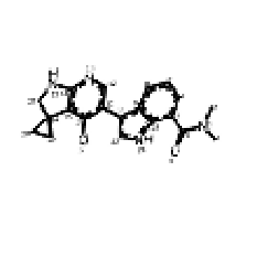 CN(C)C(=O)c1cccc2c(-c3cnc4c(c3Cl)C3(CC3)CN4)c[nH]c12